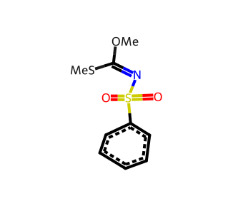 COC(=NS(=O)(=O)c1ccccc1)SC